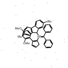 COc1ccc(C2=[C]([Hf](=[C](c3ccccc3)c3ccccc3)[CH]3c4cc(C(C)(C)C)ccc4-c4ccc(C(C)(C)C)cc43)CC=C2)c(OC)c1